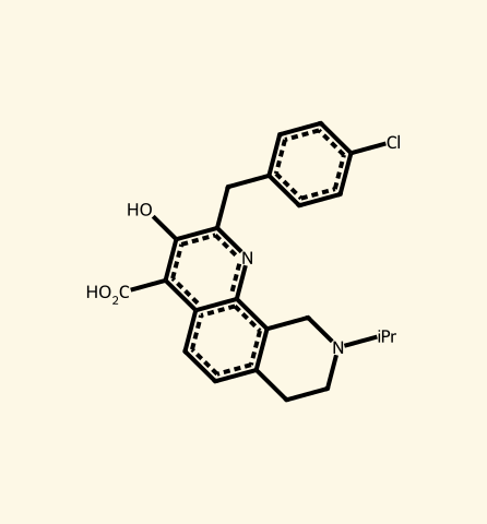 CC(C)N1CCc2ccc3c(C(=O)O)c(O)c(Cc4ccc(Cl)cc4)nc3c2C1